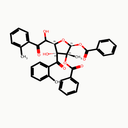 Cc1ccccc1C(=O)C(O)[C@H]1O[C@@H](OC(=O)c2ccccc2)[C@](C)(OC(=O)c2ccccc2)[C@@]1(O)C(=O)c1ccccc1C